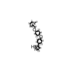 Cn1ccnc1COc1ccc(Oc2ccc(-c3ccn[nH]3)cc2)cc1